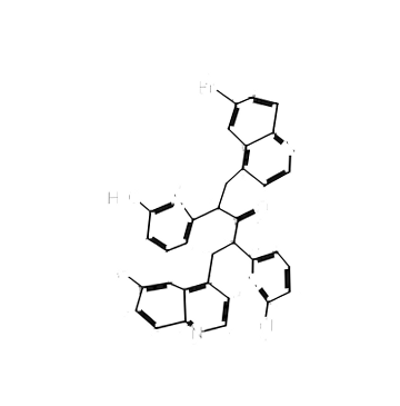 Cc1cccc(C(Cc2ccnc3ccc(Br)cc23)C(=O)C(Cc2ccnc3ccc(Br)cc23)c2cccc(C)n2)n1